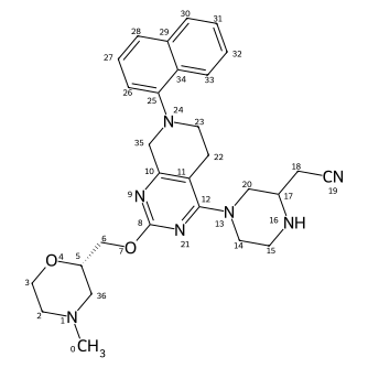 CN1CCO[C@H](COc2nc3c(c(N4CCNC(CC#N)C4)n2)CCN(c2cccc4ccccc24)C3)C1